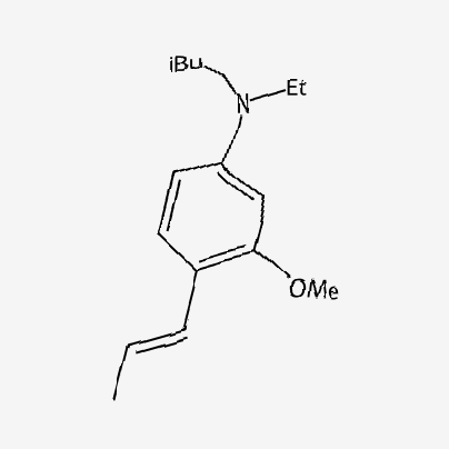 C/C=C/c1ccc(N(CC)C(C)CC)cc1OC